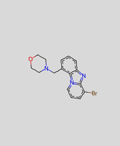 Brc1cccn2c1nc1cccc(CN3CCOCC3)c12